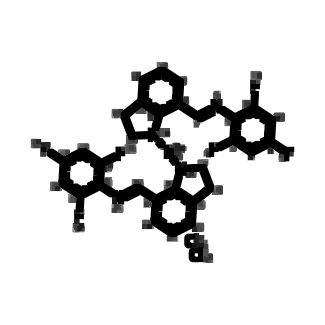 Fc1cc(F)c(N=Cc2cccc3c2[N]([Ti+2][N]2CCc4cccc(C=Nc5c(F)cc(F)cc5F)c42)CC3)c(F)c1.[Cl-].[Cl-]